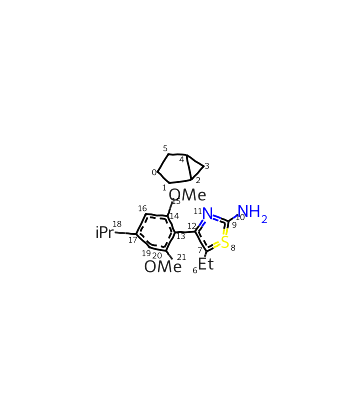 C1CC2CC2C1.CCc1sc(N)nc1-c1c(OC)cc(C(C)C)cc1OC